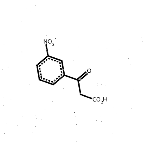 O=C(O)CC(=O)c1cccc([N+](=O)[O-])c1